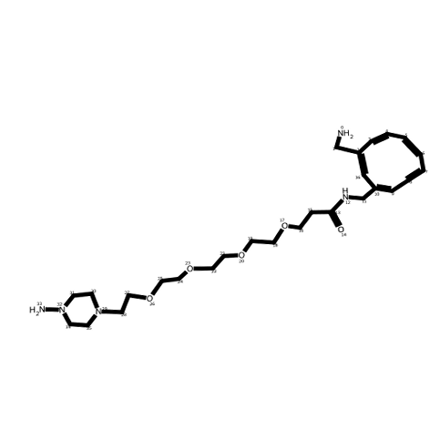 NCc1cccccccc(CNC(=O)CCOCCOCCOCCOCCN2CCN(N)CC2)c1